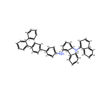 c1ccc(-c2ccccc2-c2ccc(-c3ccc(Nc4cccc5c4c4ccccc4n5-c4cccc5ccccc45)cc3)cc2)cc1